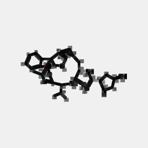 Cc1nc2oc1C13c4ccccc4NC1Oc1ccc(cc13)C[C@H](NC(=O)[C@@H]1C[C@@H](O)CN1)C(=O)NC2C(C)C